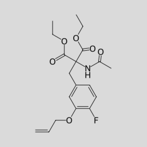 C=CCOc1cc(CC(NC(C)=O)(C(=O)OCC)C(=O)OCC)ccc1F